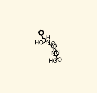 O=C(O)c1cnc(N2CCOC(CNC(/C=C/c3ccccc3)CO)C2)nc1